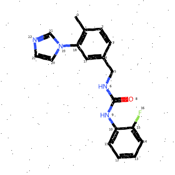 Cc1ccc(CNC(=O)Nc2ccccc2F)cc1-n1ccnc1